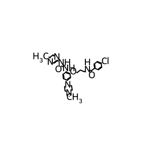 Cc1cnc(NC(=O)Nc2ccc(N3CCN(C)CC3)cc2OCCCNC(=O)c2ccc(Cl)cc2)cn1